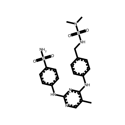 Cc1cnc(Nc2ccc(S(N)(=O)=O)cc2)nc1Nc1ccc(CNS(=O)(=O)N(C)C)cc1